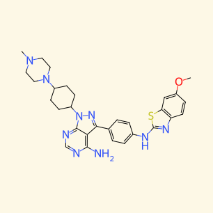 COc1ccc2nc(Nc3ccc(-c4nn(C5CCC(N6CCN(C)CC6)CC5)c5ncnc(N)c45)cc3)sc2c1